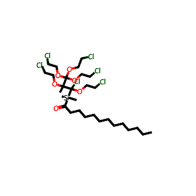 CCCCCCCCCCCCC(=O)[Si](C)(C)C(Cl)(OCCCl)C(C)(OCCCl)C(OCCCl)(OCCCl)OCCCl